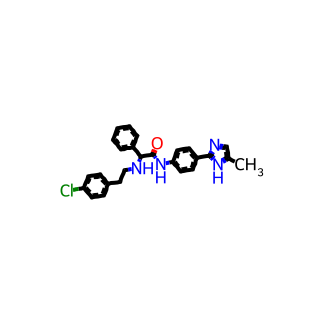 Cc1cnc(-c2ccc(NC(=O)C(NCCc3ccc(Cl)cc3)c3ccccc3)cc2)[nH]1